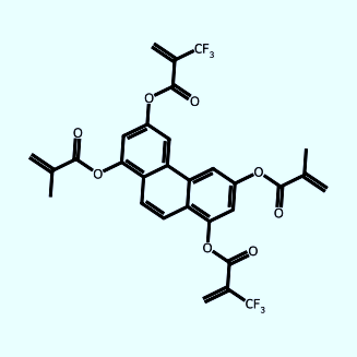 C=C(C)C(=O)Oc1cc(OC(=O)C(=C)C(F)(F)F)c2ccc3c(OC(=O)C(=C)C)cc(OC(=O)C(=C)C(F)(F)F)cc3c2c1